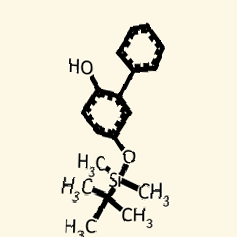 CC(C)(C)[Si](C)(C)Oc1ccc(O)c(-c2ccccc2)c1